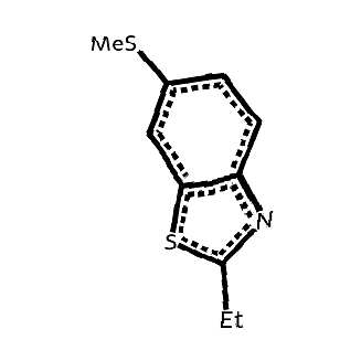 CCc1nc2ccc(SC)cc2s1